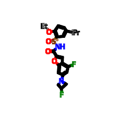 CCOc1ccc(C(C)C)cc1[S+]([O-])NC(=O)c1cc2c(F)cc(N3CC(F)C3)cc2o1